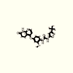 CSc1cc(Oc2ccnc3c2CCC(=O)N3)ccc1NC(=O)Nc1cc(C(C)(C)C)no1